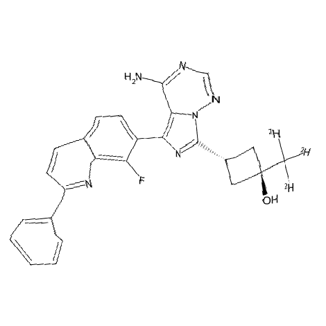 [2H]C([2H])([2H])[C@]1(O)C[C@H](c2nc(-c3ccc4ccc(-c5ccccc5)nc4c3F)c3c(N)ncnn32)C1